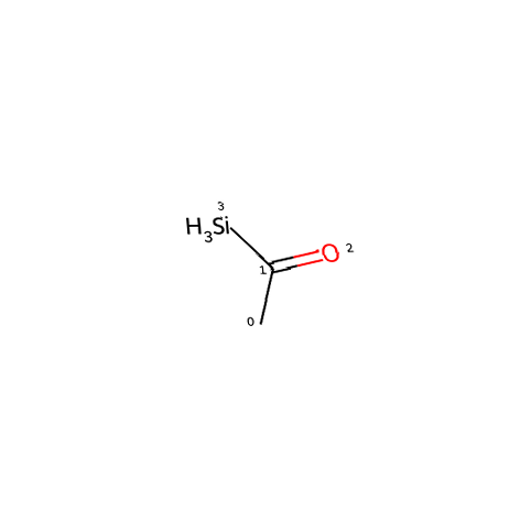 CC(=O)[SiH3]